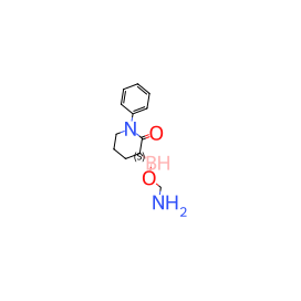 NCOB[C@H]1CCCN(c2ccccc2)C1=O